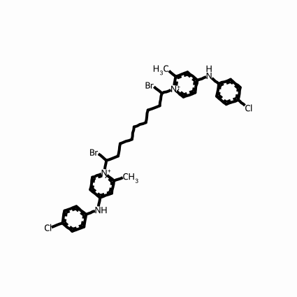 Cc1cc(Nc2ccc(Cl)cc2)cc[n+]1C(Br)CCCCCCCC(Br)[n+]1ccc(Nc2ccc(Cl)cc2)cc1C